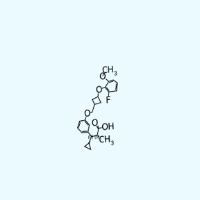 COc1cccc(F)c1OC1CC(COc2cccc([C@H](C3CC3)[C@H](C)C(=O)O)c2)C1